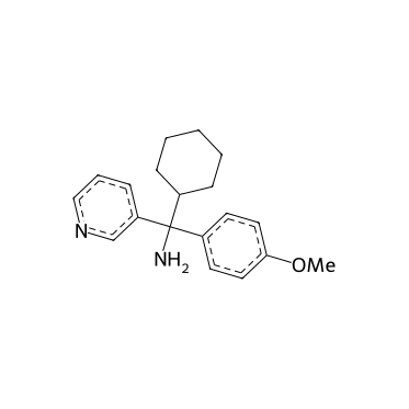 COc1ccc(C(N)(c2cccnc2)C2CCCCC2)cc1